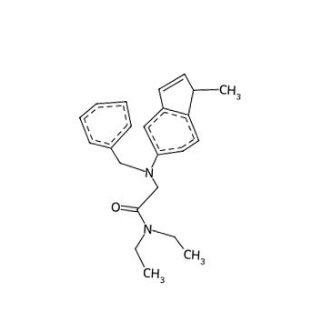 CCN(CC)C(=O)CN(Cc1ccccc1)c1ccc2c(c1)C=CC2C